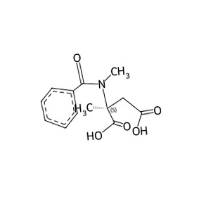 CN(C(=O)c1ccccc1)[C@@](C)(CC(=O)O)C(=O)O